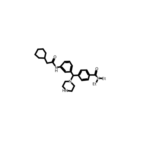 CCN(CC)C(=O)c1ccc(C(c2cccc(NC(=O)CC3CCCCC3)c2)N2CCNCC2)cc1